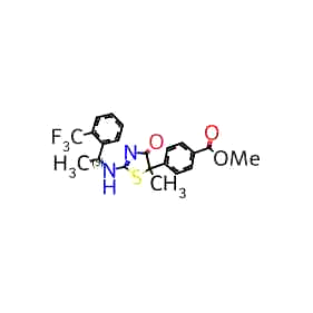 COC(=O)c1ccc(C2(C)SC(N[C@@H](C)c3ccccc3C(F)(F)F)=NC2=O)cc1